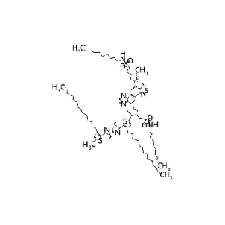 CCCCCCCCCCCCCCc1cc(C)sc1-c1nc2sc(-c3sc(-c4sc(-c5cc6c(cc(-c7cc(CCS(=O)(=O)NCCCCCCCCCC)c(C)s7)c7nsnc76)c6nsnc56)cc4CCS(=O)(=O)NCCCCCCCCCC)cc3CCCCCCCCCCCCCC)nc2s1